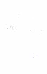 CC(=O)NC(CCCN)(C(=O)O)C(F)F